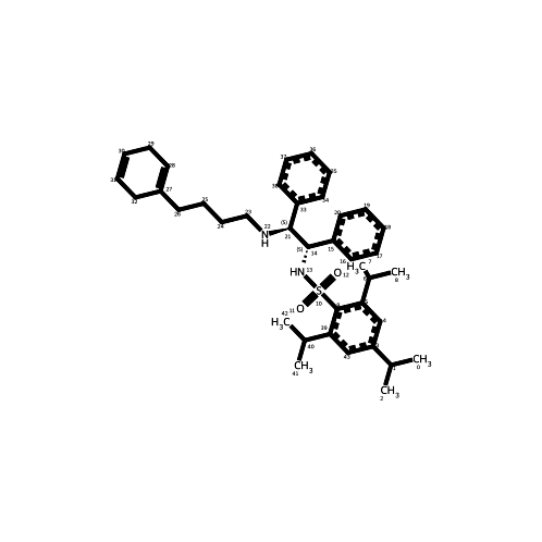 CC(C)c1cc(C(C)C)c(S(=O)(=O)N[C@@H](c2ccccc2)[C@@H](NCCCCC2=CCC=CC2)c2ccccc2)c(C(C)C)c1